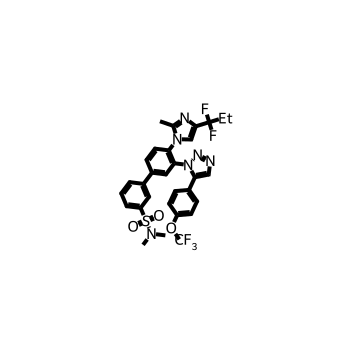 CCC(F)(F)c1cn(-c2ccc(-c3cccc(S(=O)(=O)N(C)C)c3)cc2-n2nncc2-c2ccc(OC(F)(F)F)cc2)c(C)n1